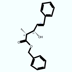 C[C@@H](C(=O)OCc1ccccc1)[C@@H](O)/C=C/c1ccccc1